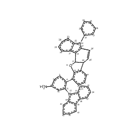 Nc1ccc(-c2cccc3c2OC2c4c(n(-c5ccccc5)c5ccccc45)C=CC32)c(-n2c3ccccc3c3ccccc32)c1